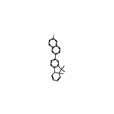 CC1(C)c2cc(-c3ccc4cc(I)ccc4c3)ccc2C2C=CC=CC21C